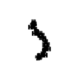 B(OCCNc1cccs1)c1ccc(COCc2ccc(BOCCNc3cccs3)cc2)cc1